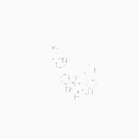 CC(C)(O[Si](C)(C)C(C)(C)C)c1ncc(-c2cn3c4c(nc3cc2F)[C@H]2C[C@@H]4c3c(cccc3OC(F)F)N2)cn1